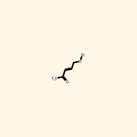 CCOC/C=C/C(=O)C(F)(F)F